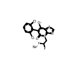 O=c1c(-c2c(Cl)cccc2Cl)c([O-])c2scnc2n1CC(F)F.[Na+]